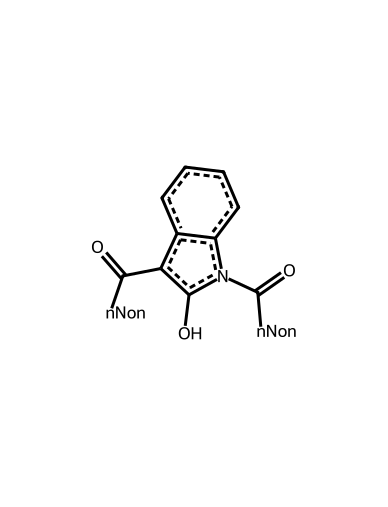 CCCCCCCCCC(=O)c1c(O)n(C(=O)CCCCCCCCC)c2ccccc12